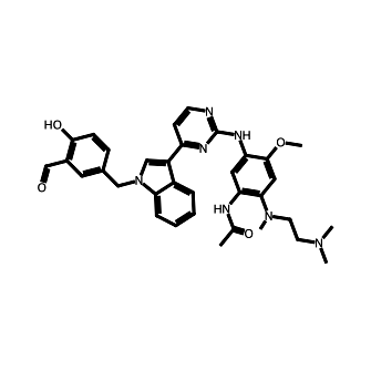 COc1cc(N(C)CCN(C)C)c(NC(C)=O)cc1Nc1nccc(-c2cn(Cc3ccc(O)c(C=O)c3)c3ccccc23)n1